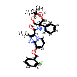 Cc1nc2c(OCc3ccccc3F)cccn2c1C(=O)NC1(c2ccccc2)COC(C)(C)OC1